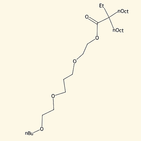 CCCCCCCCC(CC)(CCCCCCCC)C(=O)OCCOCCCOCCOCCCC